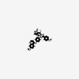 COc1ccc([C@@H](C)N=S(=O)(N[C@@H](C)c2ccnn2C)c2ccc(Oc3ccnc4cc(OC)ccc34)cc2)cc1